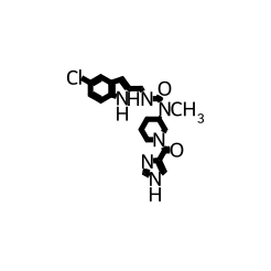 CN(C(=O)NCc1cc2cc(Cl)ccc2[nH]1)[C@@H]1CCCN(C(=O)c2c[nH]cn2)C1